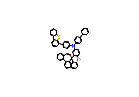 c1ccc(-c2ccc(N(c3ccc(-c4cccc5c4sc4ccccc45)cc3)c3ccc4c(c3)C3(c5ccccc5O4)c4ccccc4-c4ccccc4-c4ccccc43)cc2)cc1